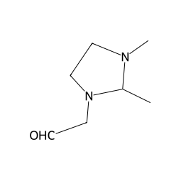 CC1N(C)CCN1CC=O